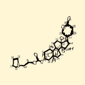 C[C@]12CC[C@H](OC(=O)OCCN3CCCC3)C[C@H]1CC[C@@H]1[C@@H]2CC[C@]2(C)[C@@H](c3ccc(=O)oc3)[C][C@H]3O[C@]132